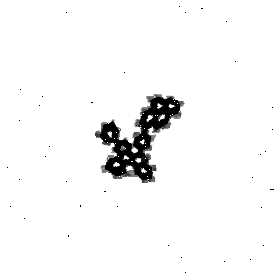 c1ccc(-c2ccc3c(c2)c2ccccc2c2c4ccccc4nc(-c4ccc(-c5ccc6ccc7cccc8ccc5c6c78)cc4)c32)cc1